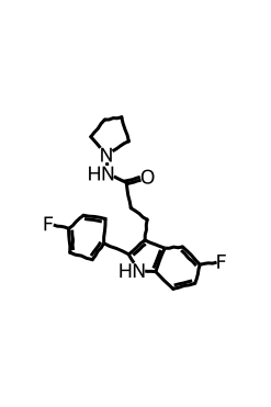 O=C(CCc1c(-c2ccc(F)cc2)[nH]c2ccc(F)cc12)NN1CCCC1